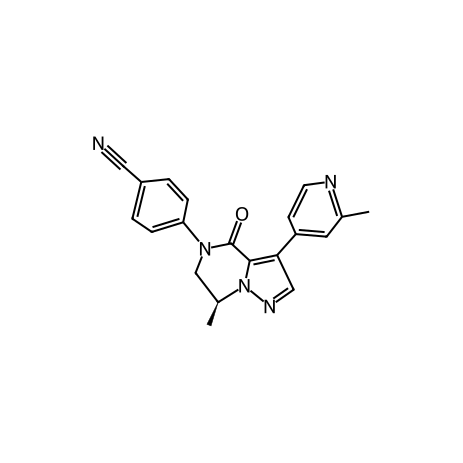 Cc1cc(-c2cnn3c2C(=O)N(c2ccc(C#N)cc2)C[C@@H]3C)ccn1